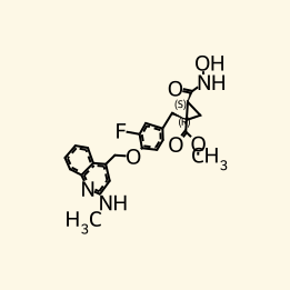 CNc1cc(COc2ccc(C[C@]3(C(=O)OC)C[C@@H]3C(=O)NO)cc2F)c2ccccc2n1